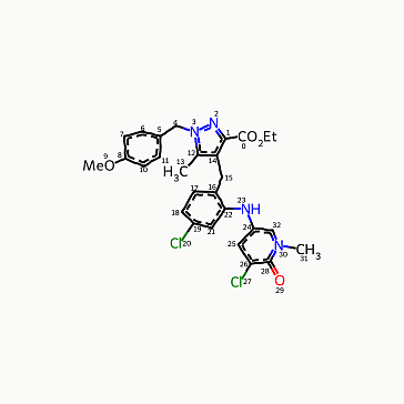 CCOC(=O)c1nn(Cc2ccc(OC)cc2)c(C)c1Cc1ccc(Cl)cc1Nc1cc(Cl)c(=O)n(C)c1